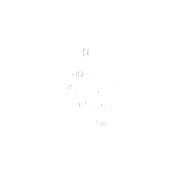 Br.Cc1nc[nH]c1-c1csc(NC(=N)N)n1